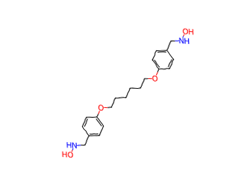 ONCc1ccc(OCCCCCCOc2ccc(CNO)cc2)cc1